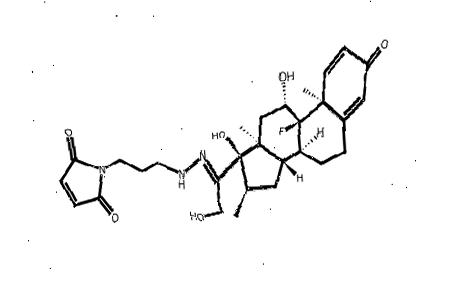 C[C@@H]1C[C@H]2[C@@H]3CCC4=CC(=O)C=C[C@]4(C)[C@@]3(F)[C@@H](O)C[C@]2(C)[C@@]1(O)/C(CO)=N/NCCCN1C(=O)C=CC1=O